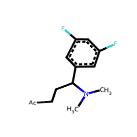 CC(=O)CCC(c1cc(F)cc(F)c1)N(C)C